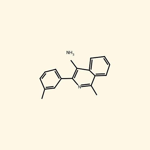 Cc1cccc(-c2nc(C)c3ccccc3c2C)c1.N